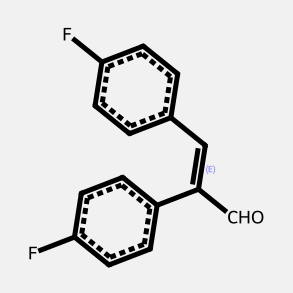 O=C/C(=C/c1ccc(F)cc1)c1ccc(F)cc1